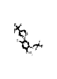 Cc1cc(F)c(-n2cc(C(F)(F)F)cn2)cc1SCC(F)(F)F